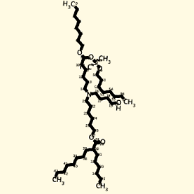 CCCCCCCCOC(CCCCCN(CCCCO)CCCCCCOC(=O)C(CCCCCC)CCCCCCCC)O[Si](C)(C)OCCCCCCCC